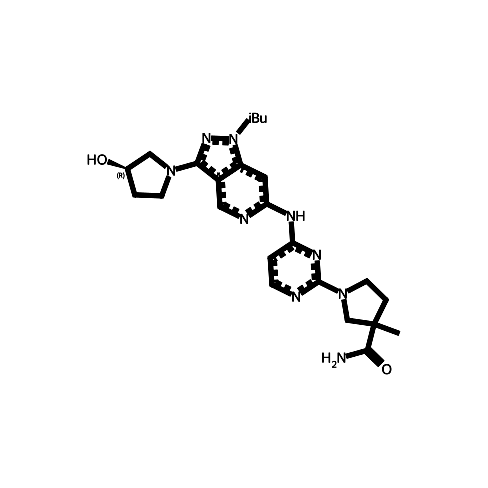 CCC(C)n1nc(N2CC[C@@H](O)C2)c2cnc(Nc3ccnc(N4CCC(C)(C(N)=O)C4)n3)cc21